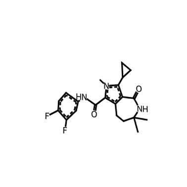 Cn1c(C(=O)Nc2ccc(F)c(F)c2)c2c(c1C1CC1)C(=O)NC(C)(C)CC2